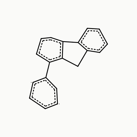 [c]1cc[c]c(-c2cccc3c2Cc2ccccc2-3)c1